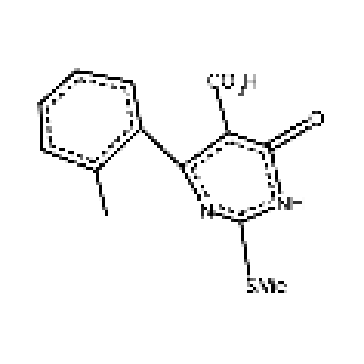 CSc1nc(-c2ccccc2C)c(C(=O)O)c(=O)[nH]1